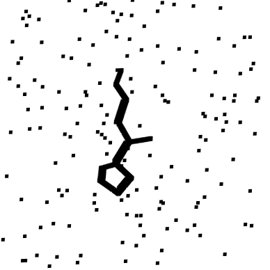 CCC=CC(C)=C1C=CC=C1